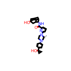 C[C@@H]1CN(c2ccc(C3(O)CC3)cc2)CCN1c1cccc(C(=O)NC2C3CC4CC2CC(O)(C4)C3)n1